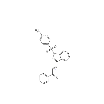 Cc1ccc(S(=O)(=O)n2cc(/C=C/C(=O)c3ccccc3)c3ccccc32)cc1